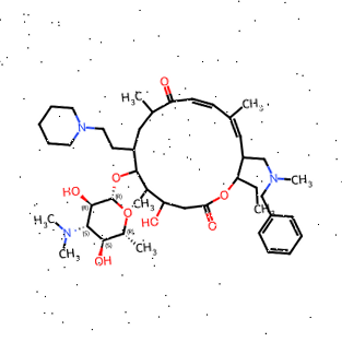 CCC1OC(=O)CC(O)C(C)C(O[C@@H]2O[C@H](C)[C@@H](O)[C@H](N(C)C)[C@H]2O)C(CCN2CCCCC2)CC(C)C(=O)C=CC(C)=CC1CN(C)Cc1ccccc1